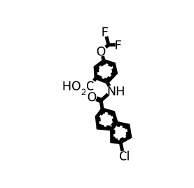 O=C(Nc1ccc(OC(F)F)cc1C(=O)O)c1ccc2cc(Cl)ccc2c1